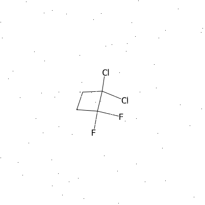 FC1(F)C[CH]C1(Cl)Cl